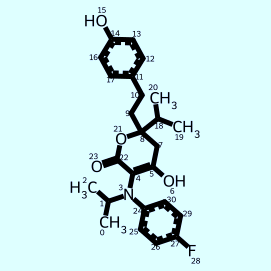 CC(C)N(C1=C(O)CC(CCc2ccc(O)cc2)(C(C)C)OC1=O)c1ccc(F)cc1